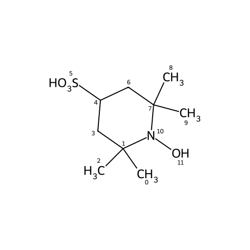 CC1(C)CC(S(=O)(=O)O)CC(C)(C)N1O